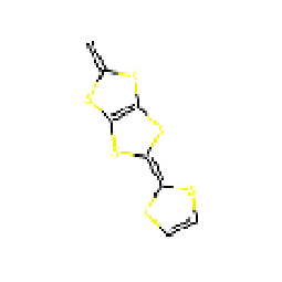 C=C1SC2=C(S1)SC(=C1SC=CS1)S2